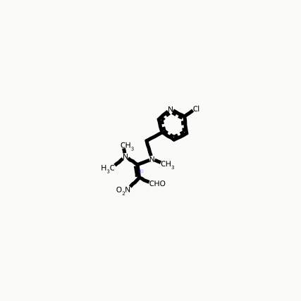 CN(C)/C(=C(/C=O)[N+](=O)[O-])N(C)Cc1ccc(Cl)nc1